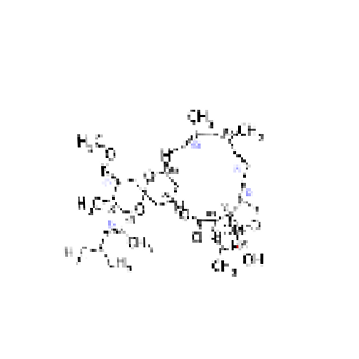 CO/N=C1\CC2(C[C@@H]3C[C@@H](C/C=C(\C)C[C@@H](C)/C=C/C=C4\CO[C@@H]5[C@H](O)C(C)=C[C@@H](C(=O)O3)[C@]45O)O2)O[C@H](/C(C)=C/C(C)C)[C@H]1C